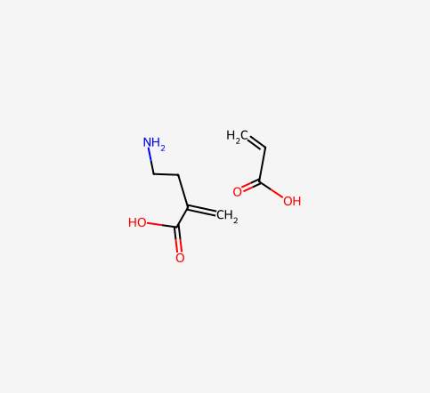 C=C(CCN)C(=O)O.C=CC(=O)O